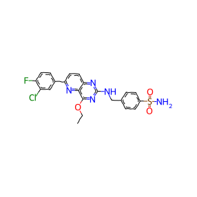 CCOc1nc(NCc2ccc(S(N)(=O)=O)cc2)nc2ccc(-c3ccc(F)c(Cl)c3)nc12